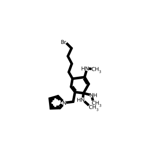 CNC1=CC(NC)(NC)C(Cn2cccc2)=CC1CCCCBr